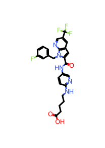 O=C(O)CCCCNc1ccc(NC(=O)c2cc3cc(C(F)(F)F)cnc3n2Cc2cccc(F)c2)cn1